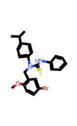 COc1ccc(Br)cc1CN(C(=S)Nc1ccccc1)c1ccc(C(C)C)cc1